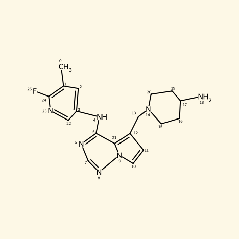 Cc1cc(Nc2ncnn3ccc(CN4CCC(N)CC4)c23)cnc1F